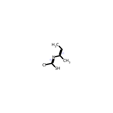 C/C=C(C)\N=C(/S)Cl